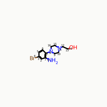 Nc1cc(Br)ccc1N1CCN(CCO)CC1